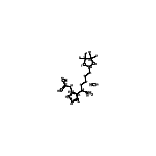 CC1(C)OB(CCCCC(N)c2nnnn2CC(=O)O)OC1(C)C.Cl